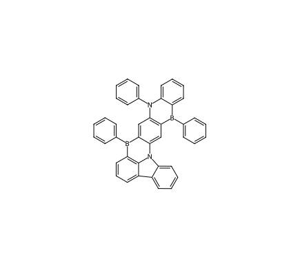 c1ccc(B2c3ccccc3N(c3ccccc3)c3cc4c(cc32)-n2c3ccccc3c3cccc(c32)B4c2ccccc2)cc1